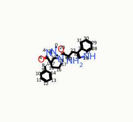 CN(C)N(C)C(=O)[C@]1(Cc2ccccc2)CCCN(C(=O)[C@H](N)Cc2c[nH]c3ccccc23)C1